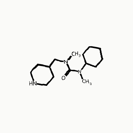 CN(CC1CCNCC1)C(=O)N(C)C1CCCCC1